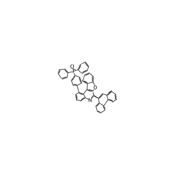 O=P(c1ccccc1)(c1ccccc1)c1ccc(-c2cccc3nc(-c4cc5ccccc5c5ccccc45)c4oc5ccccc5c4c23)cc1